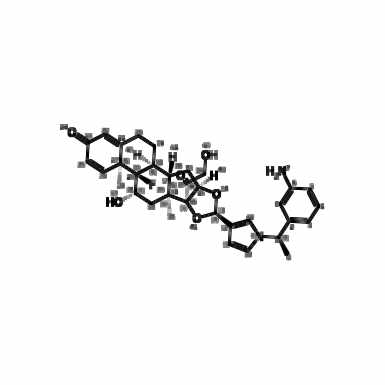 C[C@H](c1cccc(N)c1)n1ccc([C@@H]2O[C@@H]3C[C@H]4[C@@H]5CCC6=CC(=O)C=C[C@]6(C)[C@@]5(F)[C@@H](O)C[C@]4(C)[C@]3(C(=O)CO)O2)c1